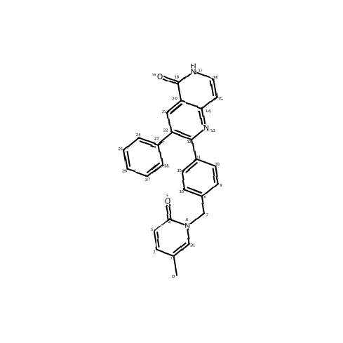 Cc1ccc(=O)n(Cc2ccc(-c3nc4cc[nH]c(=O)c4cc3-c3ccccc3)cc2)c1